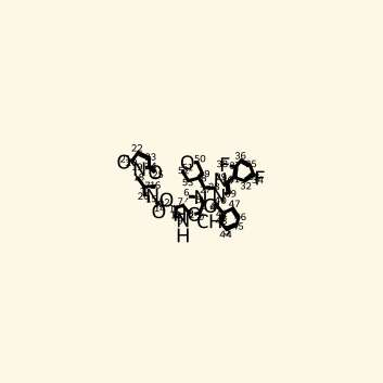 C[C@H](O)C(=O)N(C[C@@H]1CNC[C@H]1OC(=O)N1CC(CN2C(=O)C=CC2=O)C1)[C@@H](c1nc(-c2cc(F)ccc2F)cn1Cc1ccccc1)C1CCOCC1